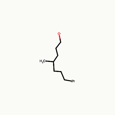 CC(C)CCCC(C)CCC[O]